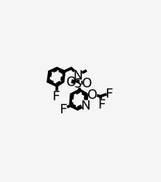 CN(Cc1cccc(F)c1)S(=O)(=O)c1cc(F)cnc1OC(F)F